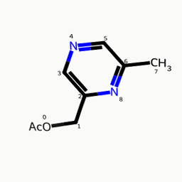 CC(=O)OCc1cncc(C)n1